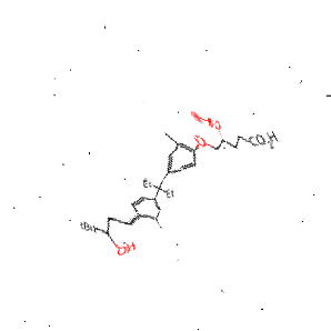 CCC(CC)(c1ccc(CCC(O)C(C)(C)C)c(C)c1)c1ccc(OC[C@H](O)CCC(=O)O)c(C)c1